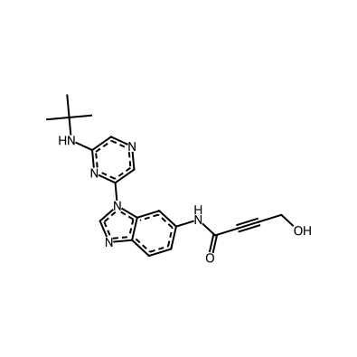 CC(C)(C)Nc1cncc(-n2cnc3ccc(NC(=O)C#CCO)cc32)n1